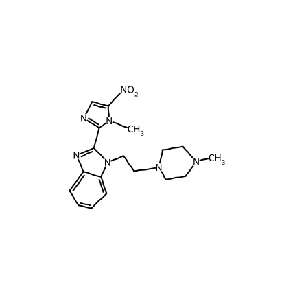 CN1CCN(CCn2c(-c3ncc([N+](=O)[O-])n3C)nc3ccccc32)CC1